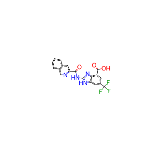 O=C(Nc1nc2c(C(=O)O)cc(C(F)(F)F)cc2[nH]1)c1cc2ccccc2cn1